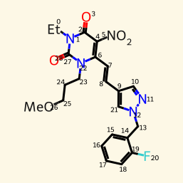 CCn1c(=O)c([N+](=O)[O-])c(C=Cc2cnn(Cc3ccccc3F)c2)n(CCCOC)c1=O